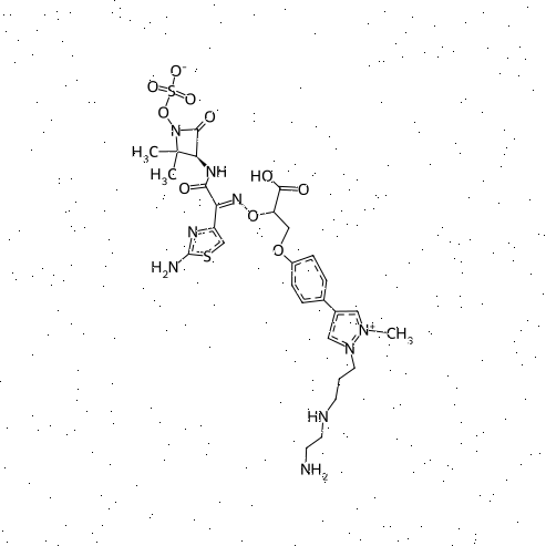 C[n+]1cc(-c2ccc(OCC(O/N=C(/C(=O)N[C@@H]3C(=O)N(OS(=O)(=O)[O-])C3(C)C)c3csc(N)n3)C(=O)O)cc2)cn1CCCNCCN